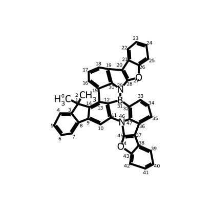 CC1(C)c2ccccc2-c2cc3c4c(c21)-c1cccc2c5c6ccccc6oc5n(c12)B4c1cccc2c4c5ccccc5oc4n-3c12